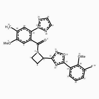 COc1cc(C(=O)N2CCC2c2noc(-c3cccc(F)c3OC)n2)c(-n2nccn2)cc1C